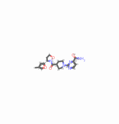 Cc1coc([C@@H]2CCON2C(=O)C2CCN(c3nccc(C(N)=O)n3)CC2)c1